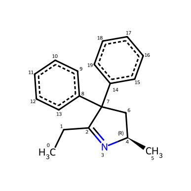 CCC1=N[C@H](C)CC1(c1ccccc1)c1ccccc1